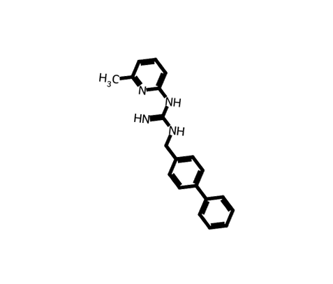 Cc1cccc(NC(=N)NCc2ccc(-c3ccccc3)cc2)n1